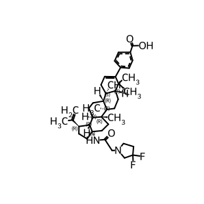 C=C(C)[C@@H]1CC[C@]2(NC(=O)CN3CCC(F)(F)C3)CC[C@]3(C)[C@H](CC[C@@H]4[C@@]5(C)CC=C(c6ccc(C(=O)O)cc6)C(C)(C)[C@@H]5CC[C@]43C)[C@@H]12